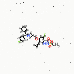 CS(=O)(=O)NC(=O)c1cc(C2CC2)c(OCC2CN(C(c3ccccc3)c3ccc(F)cc3)C2)cc1F